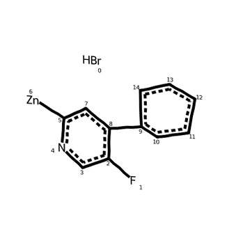 Br.Fc1cn[c]([Zn])cc1-c1ccccc1